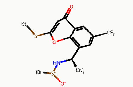 CCSc1cc(=O)c2cc(C(F)(F)F)cc([C@@H](C)N[S+]([O-])C(C)(C)C)c2o1